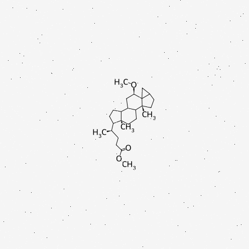 COC(=O)CC[C@@H](C)C1CCC2C3C[C@@H](OC)C45CC4CC[C@]5(C)C3CC[C@@]21C